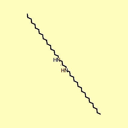 CCCCCCCCCCCCCCCCCNC[CH]CNCCCCCCCCCCCCCCCCC